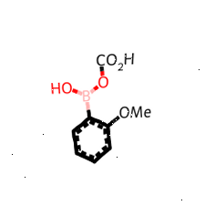 COc1ccccc1B(O)OC(=O)O